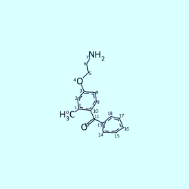 Cc1cc(OCCN)ccc1C(=O)c1ccccc1